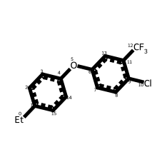 CCc1ccc(Oc2ccc(Cl)c(C(F)(F)F)c2)cc1